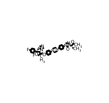 CC[C@@H](C(C)=O)n1ncn(-c2ccc(N3CCN(c4ccc(OC[C@]5(C)CO[C@@](Cn6cncn6)(c6ccc(F)cc6F)C5)cc4)CC3)cc2)c1=O